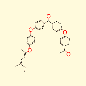 CC/C(C)=C\C=C(/C)Oc1ccc(Oc2ccc(C(=O)C3=CC=C(OC4=CC=C(C(C)=O)CC4)CC3)cc2)cc1